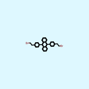 BrCCc1ccc(-c2c3ccccc3c(-c3ccc(CCBr)cc3)c3ccccc23)cc1